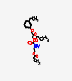 C=CC(=O)OCCNC(=O)OCC(COc1cccc(CC)c1)OC(=O)C=C